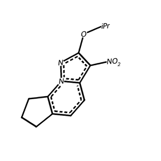 CC(C)Oc1nn2c3c(ccc2c1[N+](=O)[O-])CCC3